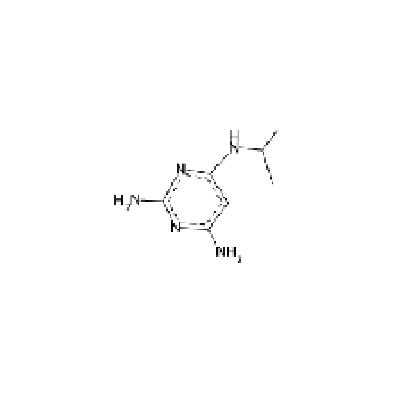 CC(C)Nc1cc(N)nc(N)n1